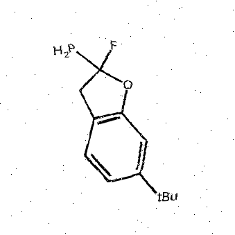 CC(C)(C)c1ccc2c(c1)OC(F)(P)C2